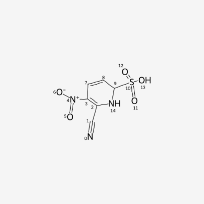 N#CC1=C([N+](=O)[O-])C=CC(S(=O)(=O)O)N1